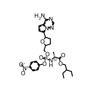 CCC(CC)COC(=O)[C@H](C)NP(=O)(OCC1CCC(c2ccc3c(N)ncnn23)O1)Oc1ccc([N+](=O)[O-])cc1